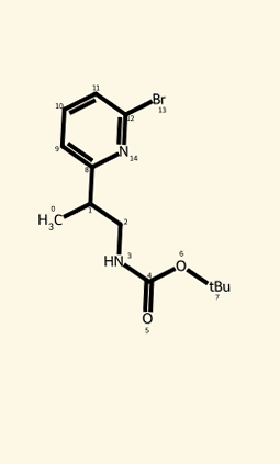 CC(CNC(=O)OC(C)(C)C)c1cccc(Br)n1